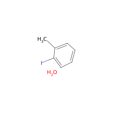 Cc1ccccc1I.O